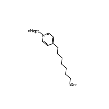 CCCCCCCCCCCCCCCCCc1cc[n+](CCCCCCC)cc1